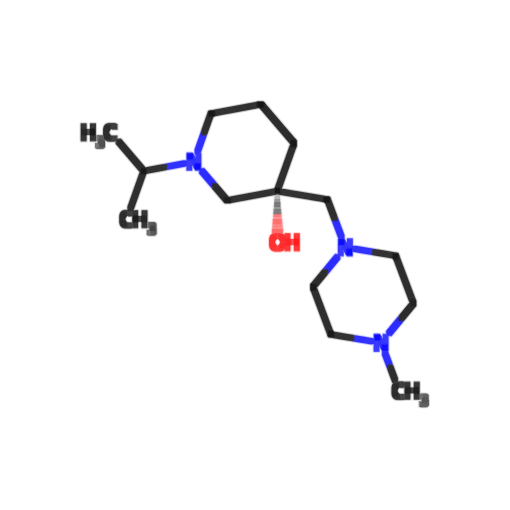 CC(C)N1CCC[C@@](O)(CN2CCN(C)CC2)C1